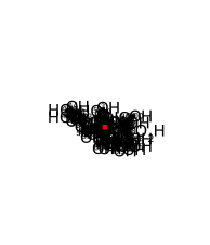 CC1C(O)[C@H](O)[C@H](CO)O[C@H]1O[C@@H]1C(O)[C@H](O)C(CO)O[C@@H]1OCC1O[C@@H](O[C@@H]2C(CO)O[C@@H](O[C@@H]3C(CO[C@@H]4O[C@@H](C)[C@@H](O)C(O)C4O)O[C@@H](C)[C@@H](C)C3O)[C@@H](C)C2O)[C@H](O)C(O[C@H]2O[C@H](CO)[C@@H](O)C(O)C2O[C@@H]2OC(CO)[C@@H](OC3OC(CO[C@]4(C(=O)O)C[C@@H](O)[C@@H](N)C([C@H](O)[C@H](O)CO)O4)[C@H](O)[C@H](O)C3O)C(O)[C@@H]2C)[C@@H]1O